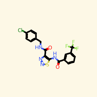 O=C(Nc1snnc1C(=O)NCc1ccc(Cl)cc1)c1cccc(C(F)(F)F)c1